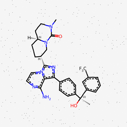 CN1CC[C@@H]2CC[C@@H](c3nc(-c4ccc([C@](C)(O)c5cccc(C(F)(F)F)c5)cc4)c4c(N)nccn34)CN2C1=O